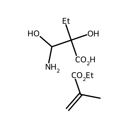 C=C(C)C(=O)OCC.CCC(O)(C(=O)O)C(N)O